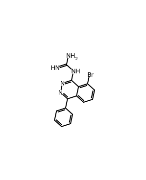 N=C(N)Nc1nnc(-c2ccccc2)c2cccc(Br)c12